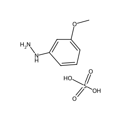 COc1cccc(NN)c1.O=S(=O)(O)O